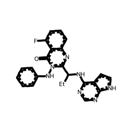 CCC(Nc1ncnc2[nH]ccc12)c1nc2cccc(F)c2c(=O)n1Nc1ccccc1